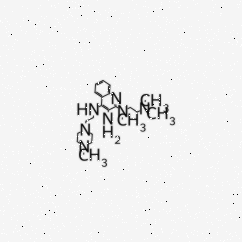 CN(C)CCN(C)c1nc2ccccc2c(NCCN2CCN(C)CC2)c1N